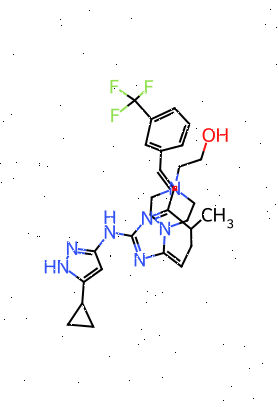 CC1C/C=C(N2CCN(CCO)CC2)/N=C(Nc2cc(C3CC3)[nH]n2)\N=C1\C=C\c1cccc(C(F)(F)F)c1